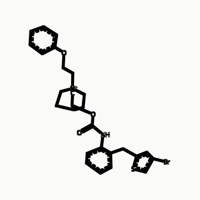 O=C(Nc1ccccc1Cc1cc(Br)cs1)OC1C[N+]2(CCOc3ccccc3)CCC1CC2